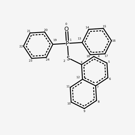 O=P(Sc1cccc2ccccc12)(c1ccccc1)c1ccccc1